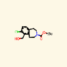 CC(C)(C)OC(=O)N1CCc2ccc(Cl)c(CO)c2CC1